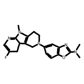 CN1C2=NC=C(F)CC2C2=C1CCN(c1ccc3oc(N(C)C)nc3c1)C2